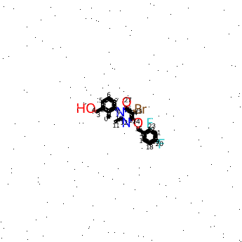 Cc1c(CO)cccc1-n1c(C)nc(OCc2ccc(F)cc2F)c(Br)c1=O